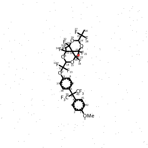 COc1ccc(C(c2ccc(OC(F)(F)C3OC(F)(F)C4(C(F)(F)OC(C(C)(F)F)OC4(F)F)C(F)(F)O3)cc2)(C(F)(F)F)C(F)(F)F)cc1